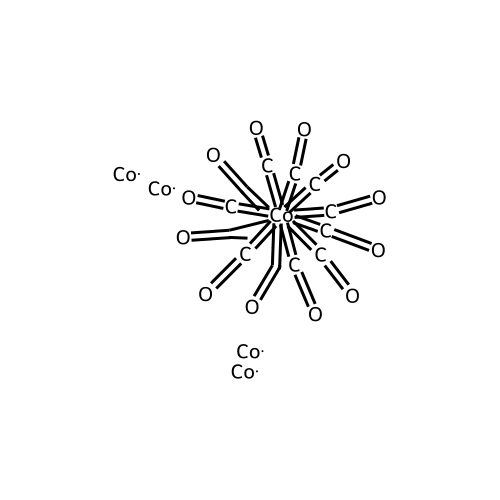 O=[C]=[Co](=[C]=O)(=[C]=O)(=[C]=O)(=[C]=O)(=[C]=O)(=[C]=O)(=[C]=O)(=[C]=O)(=[C]=O)(=[C]=O)=[C]=O.[Co].[Co].[Co].[Co]